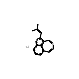 CC(C)=Cc1oc2cccc3c2c1C=NC=C3.Cl